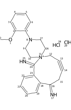 COc1ccccc1N1CC[N+]2(CC#CCC(=N)c3ccccc3C2=N)CC1.Cl.Cl